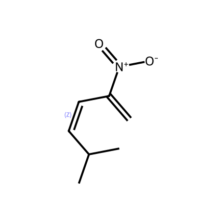 C=C(/C=C\C(C)C)[N+](=O)[O-]